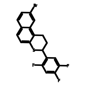 Fc1cc(F)c(C2CCc3c(ccc4ccc(Br)cc34)S2)cc1F